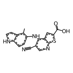 Cc1c(Nc2c(C#N)cnc3sc(C(=O)O)cc23)ccc2[nH]ccc12